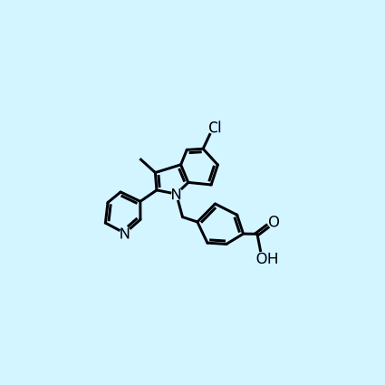 Cc1c(-c2cccnc2)n(Cc2ccc(C(=O)O)cc2)c2ccc(Cl)cc12